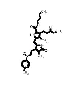 CCCCOC(=O)c1[nH]c(/C=C2\NC(=O)C(C)=C2CC[S+]([O-])c2ccc(C)cc2)c(C)c1CCC(=O)OC